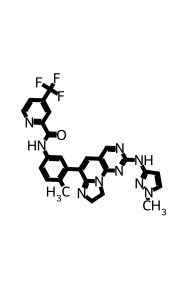 Cc1ccc(NC(=O)c2cc(C(F)(F)F)ccn2)cc1C1=Cc2cnc(Nc3ccn(C)n3)nc2N2CCN=C12